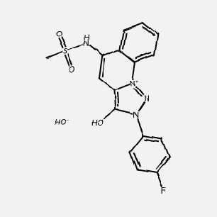 CS(=O)(=O)Nc1cc2c(O)n(-c3ccc(F)cc3)n[n+]2c2ccccc12.[OH-]